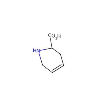 O=C(O)[C]1CC=CCN1